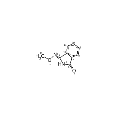 CON=C1NC(=O)c2ccccc21